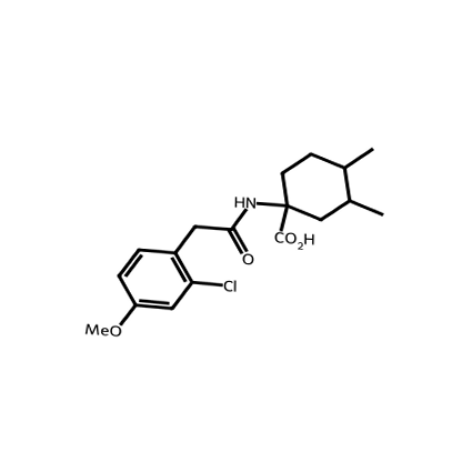 COc1ccc(CC(=O)NC2(C(=O)O)CCC(C)C(C)C2)c(Cl)c1